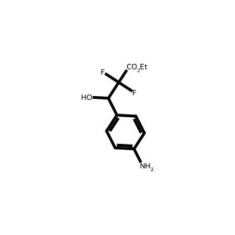 CCOC(=O)C(F)(F)C(O)c1ccc(N)cc1